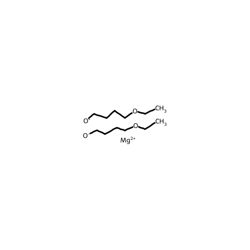 CCOCCCC[O-].CCOCCCC[O-].[Mg+2]